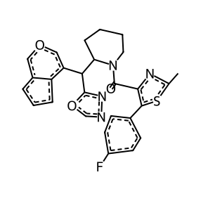 Cc1nc(C(=O)N2CCCCC2C(c2nnco2)c2cocc3cccc2-3)c(-c2ccc(F)cc2)s1